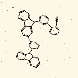 N#Cc1ccccc1-c1cccc(-n2c3ccccc3c3ccc(-c4cccc(-n5c6ccccc6c6ccccc65)c4)cc32)c1